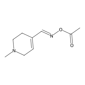 CC(=O)ON=CC1=CCN(C)CC1